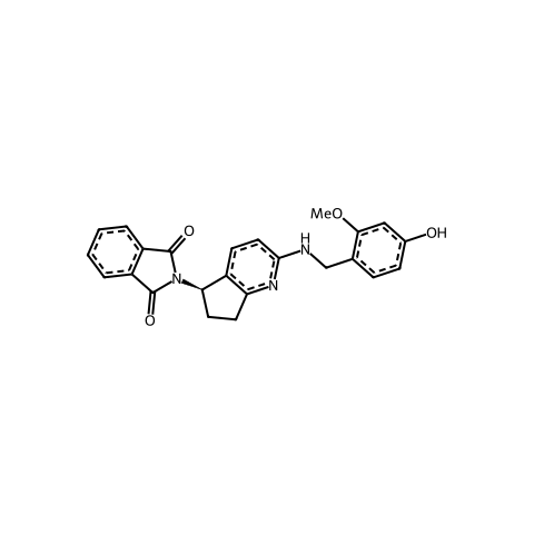 COc1cc(O)ccc1CNc1ccc2c(n1)CC[C@H]2N1C(=O)c2ccccc2C1=O